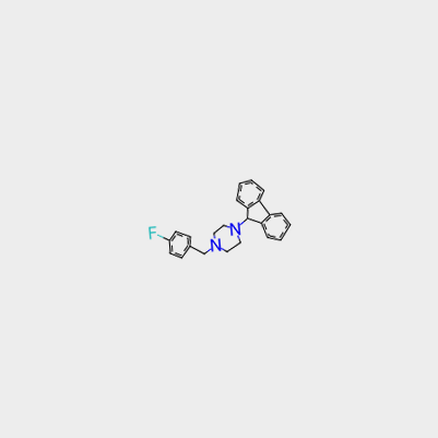 Fc1ccc(CN2CCN(C3c4ccccc4-c4ccccc43)CC2)cc1